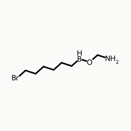 NCOBCCCCCCBr